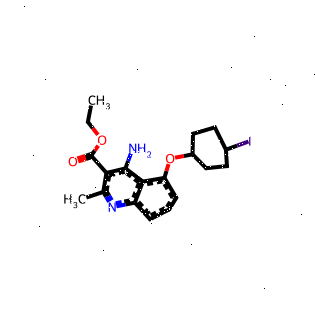 CCOC(=O)c1c(C)nc2cccc(OC3CCC(I)CC3)c2c1N